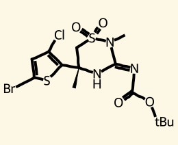 CN1/C(=N/C(=O)OC(C)(C)C)N[C@](C)(c2sc(Br)cc2Cl)CS1(=O)=O